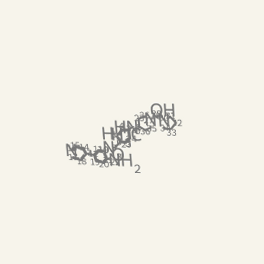 CC1(Nc2ccc(C(=O)Nc3cc(-c4ccncc4)ccc3N)cc2)CCN(C(O)N2CCCC2)CC1